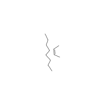 C/C=C\C.CCCCCCCC